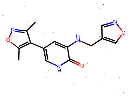 Cc1noc(C)c1-c1c[nH]c(=O)c(NCc2cnoc2)c1